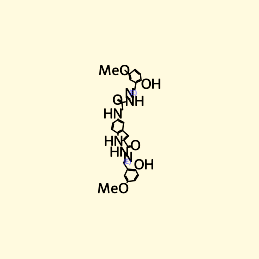 COc1ccc(O)c(/C=N/NC(=O)CNc2ccc3[nH]c(C(=O)N/N=C/c4cc(OC)ccc4O)cc3c2)c1